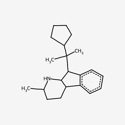 CC1CCC2c3ccccc3C(C(C)(C)C3CCCC3)C2N1